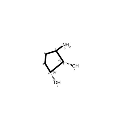 NC1CC[C@@H](O)[C@H]1O